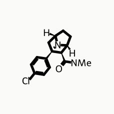 CNC(=O)[C@H]1[C@@H](c2ccc(Cl)cc2)C[C@@H]2CC[C@H]1N2C